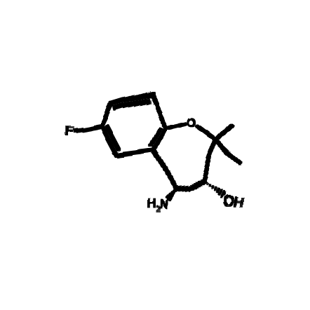 CC1(C)Oc2ccc(F)cc2[C@H](N)[C@H]1O